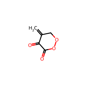 C=C1COOC(=O)C1=O